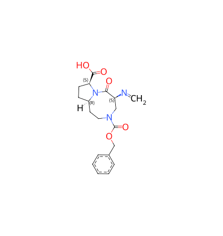 C=N[C@H]1CN(C(=O)OCc2ccccc2)CC[C@H]2CC[C@@H](C(=O)O)N2C1=O